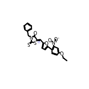 CCOc1ccc(-c2ccc(/C=C3\SC(=S)N(Cc4ccccc4)C3=O)o2)c([N+](=O)[O-])c1